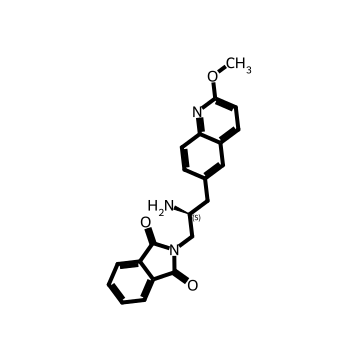 COc1ccc2cc(C[C@H](N)CN3C(=O)c4ccccc4C3=O)ccc2n1